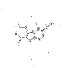 CCOC1=C(C(=O)O)N=c2ccc(=C=O)c(C)c21